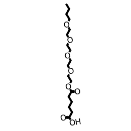 CCCCOCCOCCOCCOCCOC(=O)CCCCC(=O)O